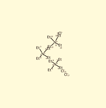 CC[N+](CC)(CC)CC.CC[N+](CC)(CC)CC.CC[N+](CC)(CC)CC.[Cl-].[Cl-].[Cl-]